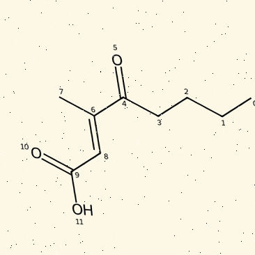 CCCCC(=O)C(C)=CC(=O)O